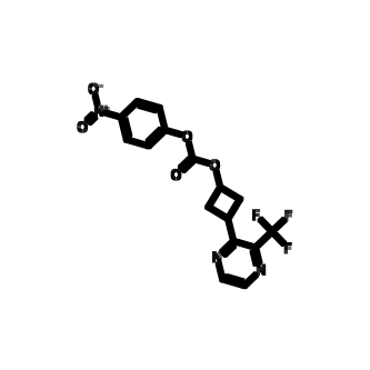 O=C(Oc1ccc([N+](=O)[O-])cc1)OC1CC(c2nccnc2C(F)(F)F)C1